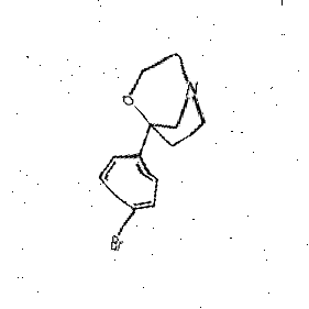 Brc1ccc(C23CCN(CCO2)C3)cc1